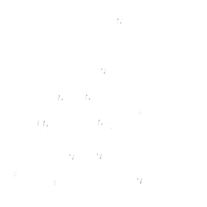 CN(C)Cc1cn(-c2ccnc(-c3c(N)c(OC(F)C(F)F)nc(N4CCC(N5CCOCC5)CC4)c3N)n2)c2cc(F)ccc12